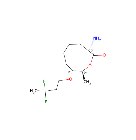 C[C@@H]1OC(=O)[C@@H](N)CCCC[C@H]1OCCC(C)(F)F